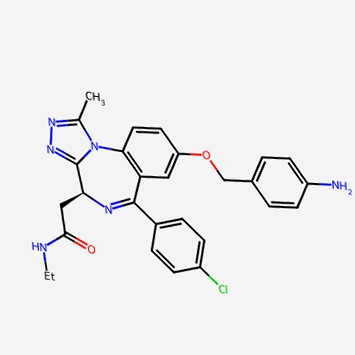 CCNC(=O)C[C@@H]1N=C(c2ccc(Cl)cc2)c2cc(OCc3ccc(N)cc3)ccc2-n2c(C)nnc21